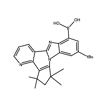 CC(C)(C)c1cc(B(O)O)c2nc3c4cccnc4c4c(n3c2c1)C(C)(C)CC4(C)C